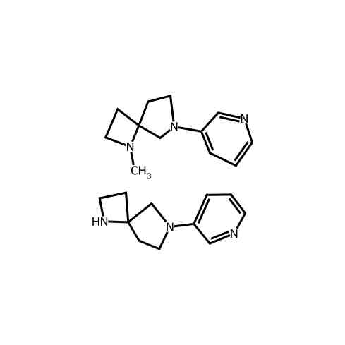 CN1CCC12CCN(c1cccnc1)C2.c1cncc(N2CCC3(CCN3)C2)c1